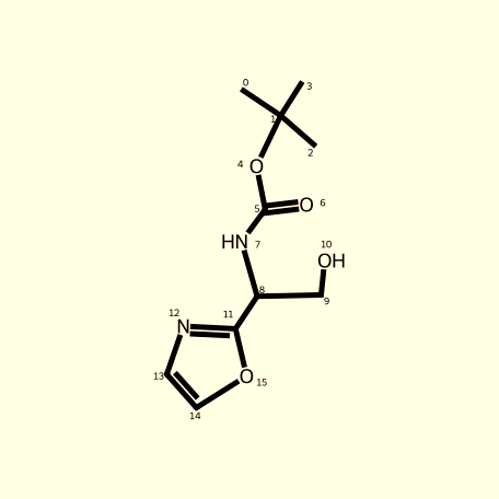 CC(C)(C)OC(=O)NC(CO)c1ncco1